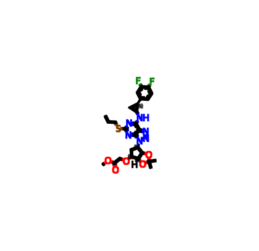 CCCSc1nc(NC2C[C@H]2c2ccc(F)c(F)c2)c2nnn([C@@H]3C[C@H](OCC(=O)OC)[C@H]4OC(C)(C)OC34)c2n1